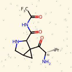 CC(C)[C@H](N)C(=O)C12CC1CNC2C(=O)NC(=O)C(F)(F)F